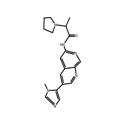 CC(C(=O)Nc1cc2cc(-c3cncn3C)cnc2cn1)N1CCCC1